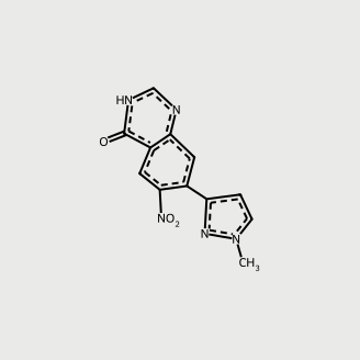 Cn1ccc(-c2cc3nc[nH]c(=O)c3cc2[N+](=O)[O-])n1